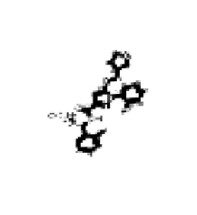 Cc1ccccc1[C@H](CC(=O)O)NC(=O)c1cc(OCC2CCOC2)n(-c2ccccc2F)n1